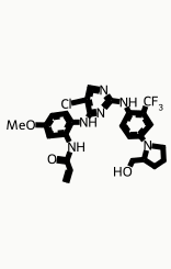 C=CC(=O)Nc1cc(OC)ccc1Nc1nc(Nc2ccc(N3CCCC3CO)cc2C(F)(F)F)ncc1Cl